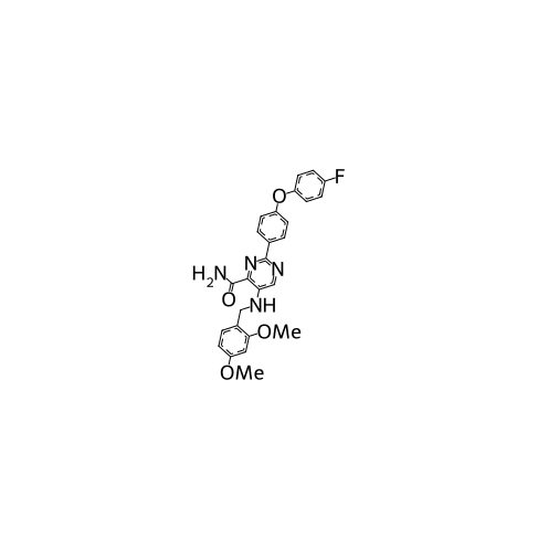 COc1ccc(CNc2cnc(-c3ccc(Oc4ccc(F)cc4)cc3)nc2C(N)=O)c(OC)c1